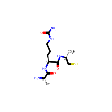 CC(C)[C@H](N)C(=O)N[C@@H](CCCNC(N)=O)C(=O)N[C@@H](CS)C(=O)O